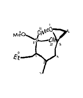 CCC(C(C)CC1CO1)[Si](OC)(OC)OC